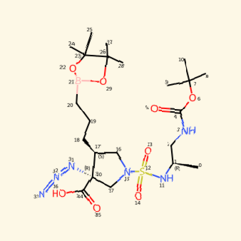 C[C@H](CNC(=O)OC(C)(C)C)NS(=O)(=O)N1C[C@H](CCCB2OC(C)(C)C(C)(C)O2)[C@](N=[N+]=[N-])(C(=O)O)C1